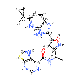 C[C@@H](NC(=O)c1ncnc2scnc12)c1cc(-c2nc3ccc(C4(C)CC4)nc3[nH]2)on1